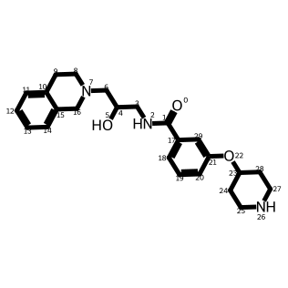 O=C(NCC(O)CN1CCc2ccccc2C1)c1cccc(OC2CCNCC2)c1